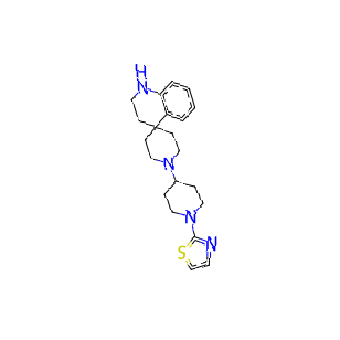 c1ccc2c(c1)NCCC21CCN(C2CCN(c3nccs3)CC2)CC1